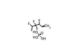 C=CC(F)C(F)(F)C(F)F.O=P(O)(O)O